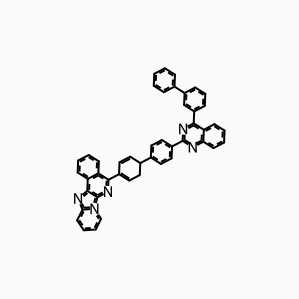 C1=CC(c2ccc(-c3nc(-c4cccc(-c5ccccc5)c4)c4ccccc4n3)cc2)CC=C1c1nc2c(nc3ccccn32)c2ccccc12